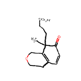 CC1(CCC(=O)O)C(=O)C=CC2=C1COCC2